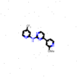 COc1cc(-c2ccnc(Nc3cc(C(F)(F)F)ccn3)n2)ccn1